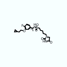 C[C@H](NS(=O)(=O)CCCCCN1CC(=O)NC1=O)c1ccc(F)c(OCCC2CC2)c1